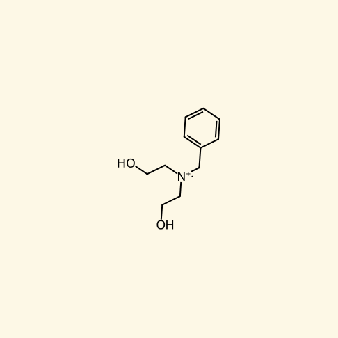 OCC[N+](CCO)Cc1ccccc1